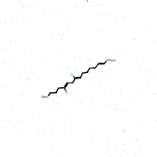 CCCCC/C=C/CCCC/C=C(\F)C/C=C(\F)CCCC=O